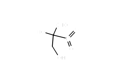 O=CC(O)(CO)P(=O)=O